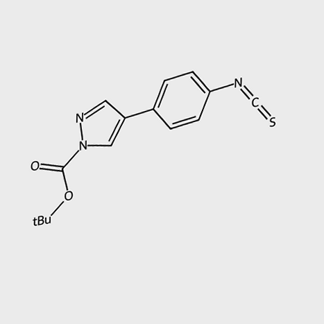 CC(C)(C)OC(=O)n1cc(-c2ccc(N=C=S)cc2)cn1